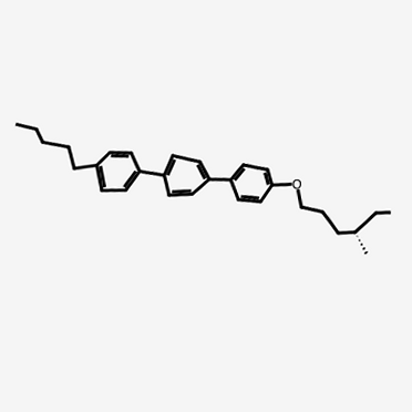 CCCCCc1ccc(-c2ccc(-c3ccc(OCCC[C@@H](C)CC)cc3)cc2)cc1